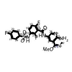 C/N=C(/OC)c1cc(NC(=O)c2c(F)ccc(NS(=O)(=O)c3ccc(F)cc3)c2F)cnc1N